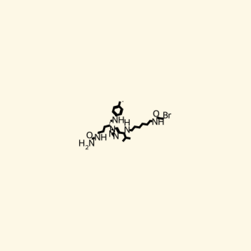 [CH2]c1ccc(NC[C@@H](CCCNC(N)=O)n2cc([C@@H](NCCCCCCNC(=O)CBr)C(C)C)nn2)cc1